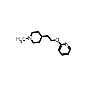 CN1CCC(CCOc2c[c]ccn2)CC1